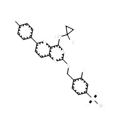 NS(=O)(=O)c1ccc(CNc2nc(NC3(C(F)(F)F)CC3)c3nc(-c4ccc(F)cc4)ccc3n2)c(Cl)c1